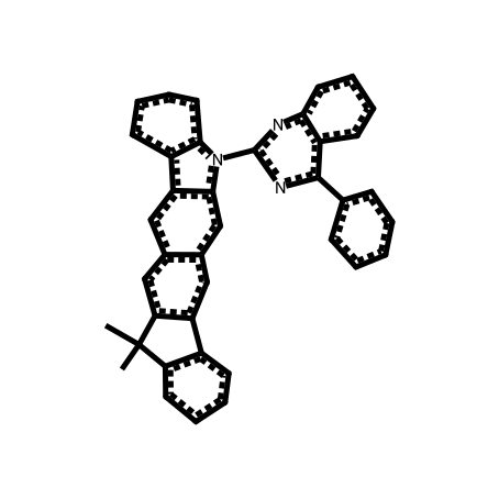 CC1(C)c2ccccc2-c2cc3cc4c(cc3cc21)c1ccccc1n4-c1nc(-c2ccccc2)c2ccccc2n1